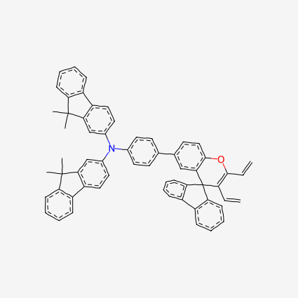 C=CC1=C(C=C)C2(c3cc(-c4ccc(N(c5ccc6c(c5)C(C)(C)c5ccccc5-6)c5ccc6c(c5)C(C)(C)c5ccccc5-6)cc4)ccc3O1)c1ccccc1-c1ccccc12